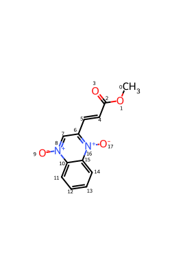 COC(=O)C=Cc1c[n+]([O-])c2ccccc2[n+]1[O-]